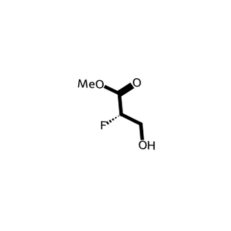 COC(=O)[C@@H](F)CO